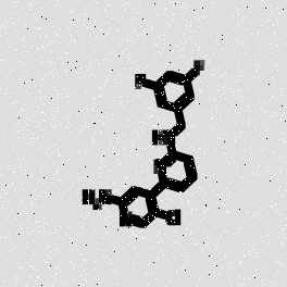 Nc1cc(-c2cccc(NCc3cc(F)cc(F)c3)n2)c(Cl)cn1